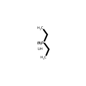 CC[SiH2]CC.[LiH].[LiH]